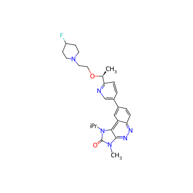 CC(C)n1c(=O)n(C)c2nnc3ccc(-c4ccc([C@H](C)OCCN5CCC(F)CC5)nc4)cc3c21